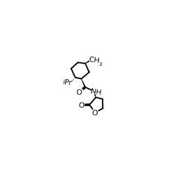 CC(C)[C@@H]1CC[C@@H](C)C[C@H]1C(=O)N[C@H]1CCOC1=O